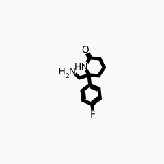 NCC1(c2ccc(F)cc2)CCCC(=O)N1